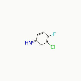 N=C1C=CC(F)=C(Cl)C1